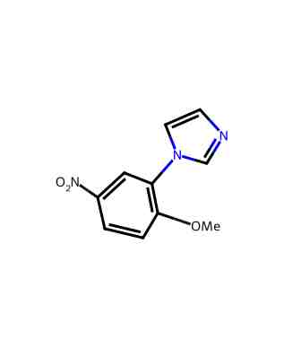 COc1ccc([N+](=O)[O-])cc1-n1ccnc1